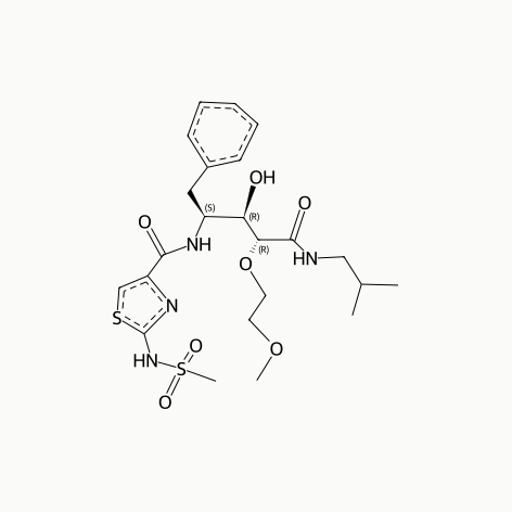 COCCO[C@@H](C(=O)NCC(C)C)[C@H](O)[C@H](Cc1ccccc1)NC(=O)c1csc(NS(C)(=O)=O)n1